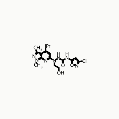 Cc1nn(C)c2nc(N(CCO)NC(=O)Nc3cc(Cl)no3)cc(C(C)C)c12